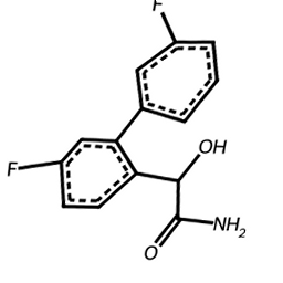 NC(=O)C(O)c1ccc(F)cc1-c1cccc(F)c1